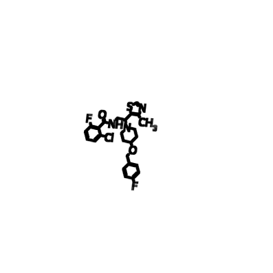 Cc1ncsc1C(CNC(=O)c1c(F)cccc1Cl)N1CCC(OCc2ccc(F)cc2)CC1